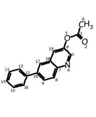 CC(=O)Oc1cnc2ccc(-c3ccccc3)cc2c1